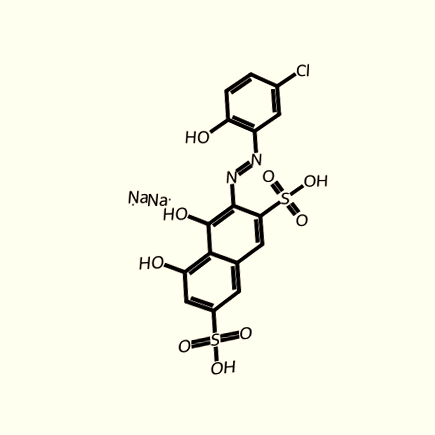 O=S(=O)(O)c1cc(O)c2c(O)c(N=Nc3cc(Cl)ccc3O)c(S(=O)(=O)O)cc2c1.[Na].[Na]